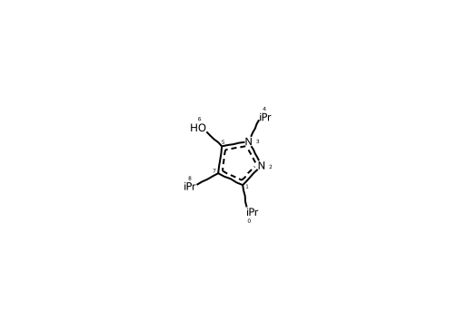 CC(C)c1nn(C(C)C)c(O)c1C(C)C